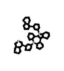 c1cc(-c2cncc3ccccc23)cc(N2c3ccccc3-c3c(n(-c4cccc(-c5cccc6ccccc56)c4)c4ccccc34)-c3ccccc32)c1